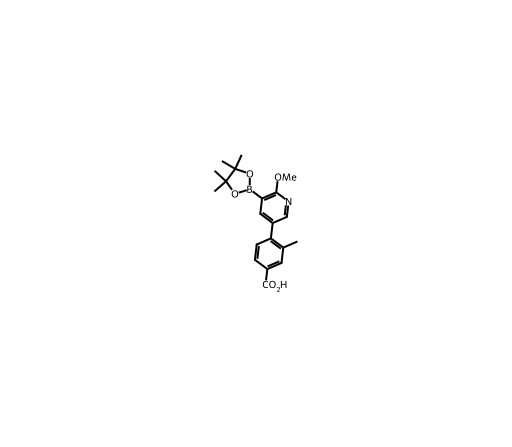 COc1ncc(-c2ccc(C(=O)O)cc2C)cc1B1OC(C)(C)C(C)(C)O1